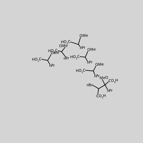 CCCC(OC)C(=O)O.CCCC(OC)C(=O)O.CCCC(OC)C(=O)O.CCCC(OC)C(=O)O.CCCC(OC)C(=O)O.CCCCC(C(=O)O)C(CCC)(OC)C(=O)O